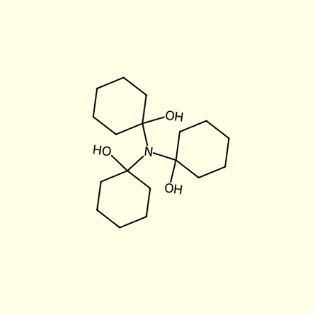 OC1(N(C2(O)CCCCC2)C2(O)CCCCC2)CCCCC1